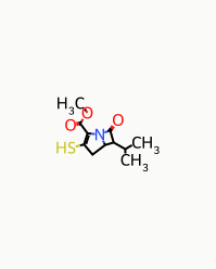 COC(=O)C1=C(S)CC2C(C(C)C)C(=O)N12